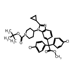 COC(=O)C(c1ccc(Cl)cc1)(c1ccc(Cl)cc1)c1ccc2nc(C3CC3)n(C3CCN(C(=O)OC(C)(C)C)CC3)c2c1